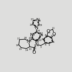 O=C(NCc1ccc2c(c1)OCO2)C1CCCCCN1c1ccnc(-n2ccnc2)n1